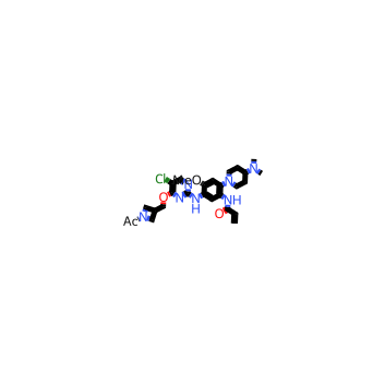 C=CC(=O)Nc1cc(Nc2ncc(Cl)c(OCC3CN(C(C)=O)C3)n2)c(OC)cc1N1CCC(N(C)C)CC1